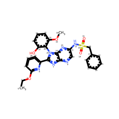 CCOC1=NC(c2nc3ncc(NS(=O)(=O)Cc4ccccc4)nc3n2-c2c(O)cccc2OC)=C=C=C1